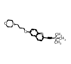 CS(C)(C)C#Cc1ccc2cc(OCCCN3CCOCC3)ccc2n1